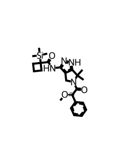 CO[C@@H](C(=O)N1Cc2c(NC(=O)C3([Si](C)(C)C)CCC3)n[nH]c2C1(C)C)c1ccccc1